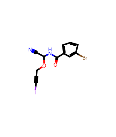 N#CC(NC(=O)c1cccc(Br)c1)OCC#CI